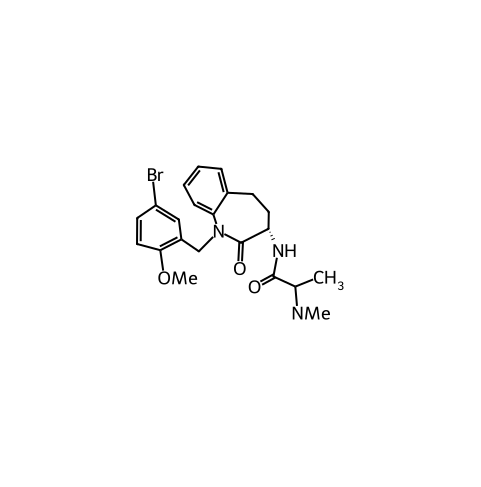 CNC(C)C(=O)N[C@H]1CCc2ccccc2N(Cc2cc(Br)ccc2OC)C1=O